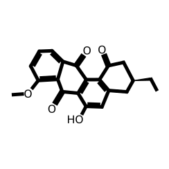 CC[C@@H]1CC(=O)c2c(cc(O)c3c2C(=O)c2cccc(OC)c2C3=O)C1